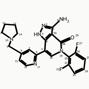 Nc1n[nH]c2c(-c3cc(CN4CCCC4)ccn3)cn(-c3c(F)cccc3F)c(=O)c12